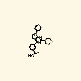 O=C(O)c1cccc(-c2nc(N3CCOCC3)nc3c2CCN3c2ccncc2)c1